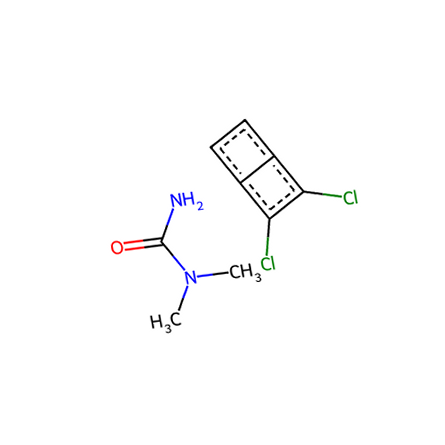 CN(C)C(N)=O.Clc1c2ccc-2c1Cl